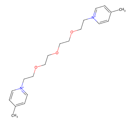 Cc1cc[n+](CCOCCOCCOCC[n+]2ccc(C)cc2)cc1